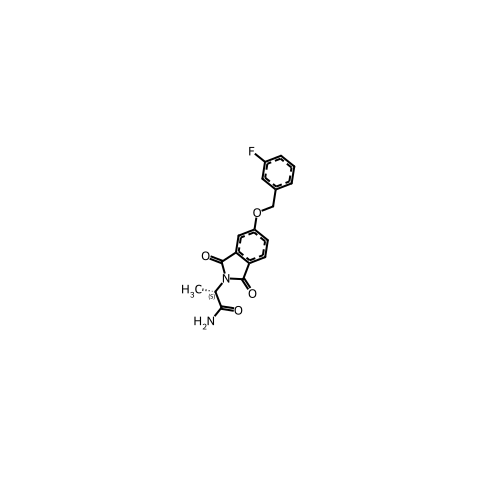 C[C@@H](C(N)=O)N1C(=O)c2ccc(OCc3cccc(F)c3)cc2C1=O